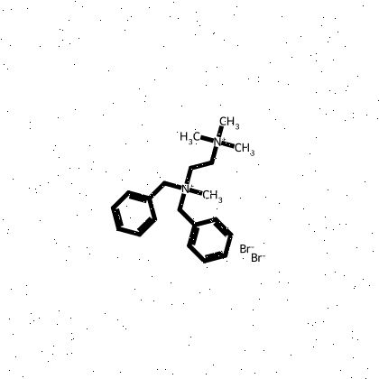 C[N+](C)(C)CC[N+](C)(Cc1ccccc1)Cc1ccccc1.[Br-].[Br-]